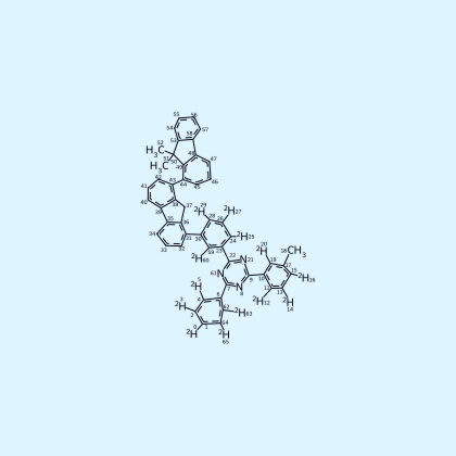 [2H]c1c([2H])c([2H])c(-c2nc(-c3c([2H])c([2H])c([2H])c(C)c3[2H])nc(-c3c([2H])c([2H])c([2H])c(-c4cccc5c4Cc4c-5cccc4-c4cccc5c4C(C)(C)c4ccccc4-5)c3[2H])n2)c([2H])c1[2H]